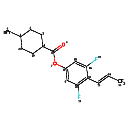 CCCC1CCC(C(=O)Oc2cc(F)c(/C=C/C(F)(F)F)c(F)c2)CC1